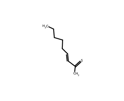 CCCCCC=CC(C)=S